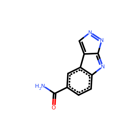 NC(=O)c1ccc2c(c1)C1=CN=NC1=N2